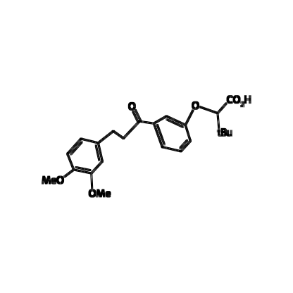 COc1ccc(CCC(=O)c2cccc(OC(C(=O)O)C(C)(C)C)c2)cc1OC